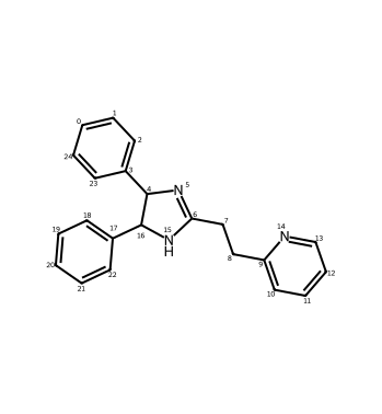 c1ccc(C2N=C(CCc3ccccn3)NC2c2ccccc2)cc1